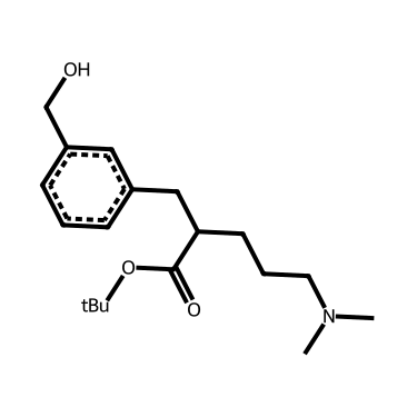 CN(C)CCCC(Cc1cccc(CO)c1)C(=O)OC(C)(C)C